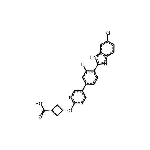 O=C(O)[C@H]1C[C@H](Oc2ccc(-c3ccc(-c4nc5ccc(Cl)cc5[nH]4)c(F)c3)cn2)C1